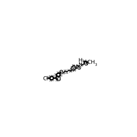 Cc1ccc(CNC(=O)CN2CCN(CCCCCOc3ccc4c(-c5ccc(Cl)cc5)coc4c3)CC2)o1